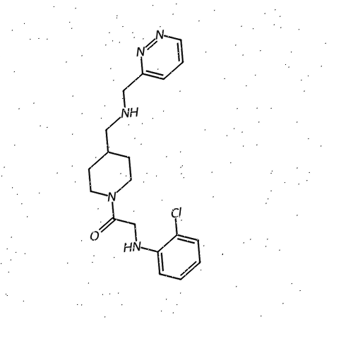 O=C(CNc1ccccc1Cl)N1CCC(CNCc2cccnn2)CC1